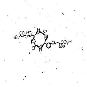 CC(C)(C)C(CCOc1cccc(-c2c3nc(c(Cl)c4ccc([nH]4)c(-c4cccc(OCCC(C(=O)O)C(C)(C)C)c4)c4nc(c(Cl)c5ccc2[nH]5)C=C4)C=C3)c1)C(=O)O